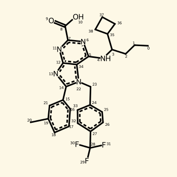 CCCC(Nc1nc(C(=O)O)nc2nc(-c3cccc(C)c3)n(Cc3ccc(C(F)(F)F)cc3)c12)C1CCC1